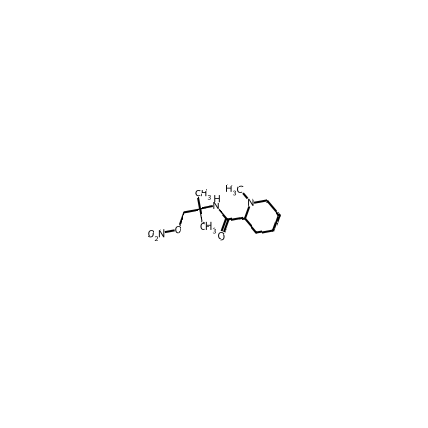 CN1CCCCC1C(=O)NC(C)(C)CO[N+](=O)[O-]